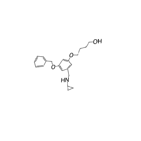 OCCCCOc1cc(CNC2CC2)cc(OCc2ccccc2)c1